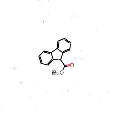 CC(C)COC(=O)C1c2ccccc2-c2ccccc21